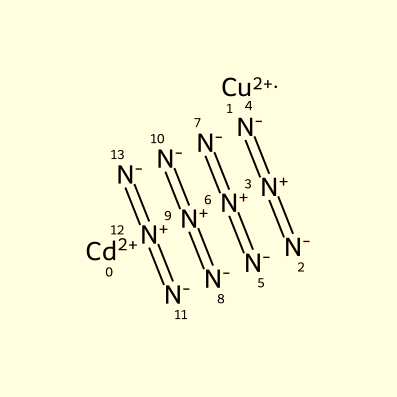 [Cd+2].[Cu+2].[N-]=[N+]=[N-].[N-]=[N+]=[N-].[N-]=[N+]=[N-].[N-]=[N+]=[N-]